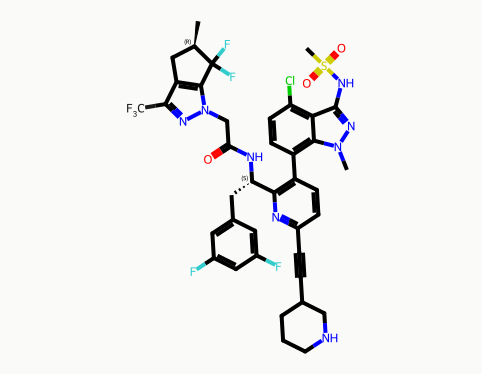 C[C@@H]1Cc2c(C(F)(F)F)nn(CC(=O)N[C@@H](Cc3cc(F)cc(F)c3)c3nc(C#CC4CCCNC4)ccc3-c3ccc(Cl)c4c(NS(C)(=O)=O)nn(C)c34)c2C1(F)F